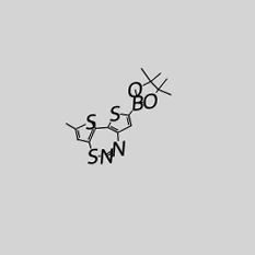 Cc1cc2c(s1)-c1sc(B3OC(C)(C)C(C)(C)O3)cc1N=NS2